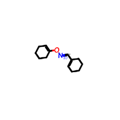 [C](=N\OC1=CCCCC1)/C1=CCCCC1